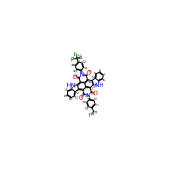 O=C1c2c3[nH]c4ccccc4c3c3c4c(c5[nH]c6ccccc6c5c(c24)C(=O)N1c1ccc(CF)cc1)C(=O)N(c1ccc(C(F)(F)F)cc1)C3=O